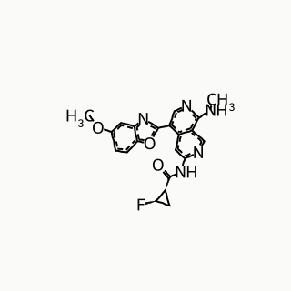 CNc1ncc(-c2nc3cc(OC)ccc3o2)c2cc(NC(=O)[C@H]3C[C@H]3F)ncc12